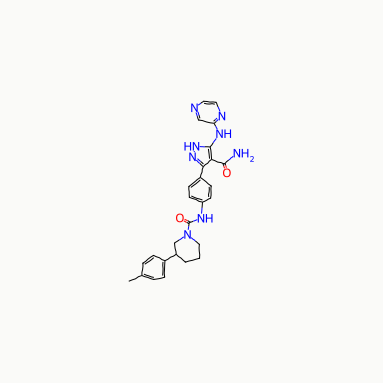 Cc1ccc(C2CCCN(C(=O)Nc3ccc(-c4n[nH]c(Nc5cnccn5)c4C(N)=O)cc3)C2)cc1